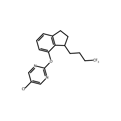 FC(F)(F)CCCC1CCc2cccc(Oc3ncc(Cl)cn3)c21